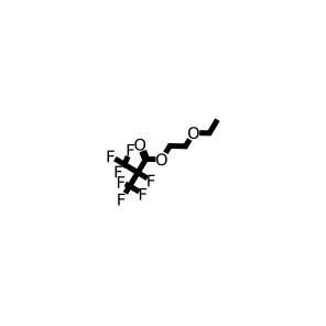 CCOCCOC(=O)C(F)(C(F)(F)F)C(F)(F)F